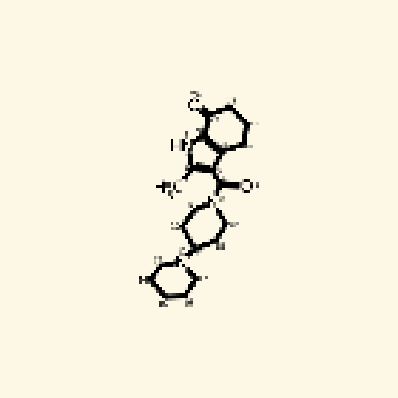 Cc1[nH]c2c(c1C(=O)N1CCC(N3CCCCC3)CC1)CCCC2=O